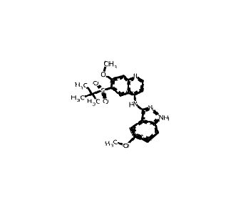 COc1ccc2[nH]nc(Nc3ccnc4cc(OC)c(S(=O)(=O)C(C)(C)C)cc34)c2c1